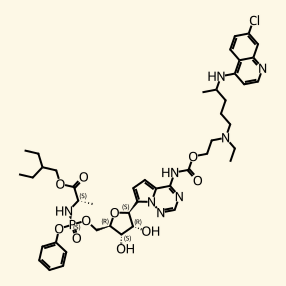 CCC(CC)COC(=O)[C@H](C)N[P@](=O)(OC[C@H]1O[C@@H](c2ccc3c(NC(=O)OCCN(CC)CCCC(C)Nc4ccnc5cc(Cl)ccc45)ncnn23)[C@H](O)[C@@H]1O)Oc1ccccc1